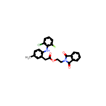 Cc1ccc(Nc2c(F)cccc2Cl)c(CC(=O)OCCN2C(=O)c3ccccc3C2=O)c1